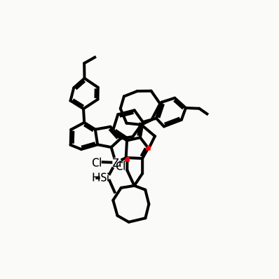 CCc1ccc(-c2cccc3c2C=C(CC2(CC)CCCCCCC2)[CH]3[Zr]([Cl])([Cl])([CH]2C(CC3(CC)CCCCCCC3)=Cc3c(-c4ccc(CC)cc4)cccc32)[SiH](C)C)cc1